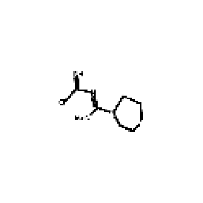 CN/C(=N\C(=N)Cl)N1CCSCC1